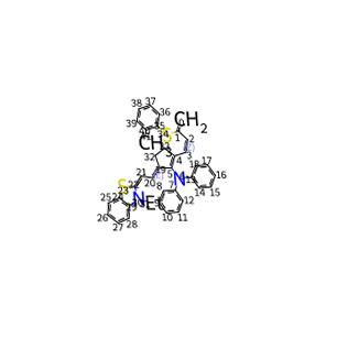 C=C(/C=C\C1=C(N(c2ccccc2)c2ccccc2)C(=C/C=C2Sc3ccccc3N2CC)/CC1)Sc1ccccc1C